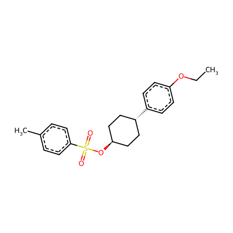 CCOc1ccc([C@H]2CC[C@H](OS(=O)(=O)c3ccc(C)cc3)CC2)cc1